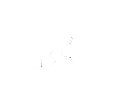 CC1(C2CC(=O)OC2=O)CC(=O)OC1=O